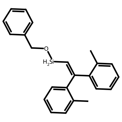 Cc1ccccc1C(=C[SiH2]OCc1ccccc1)c1ccccc1C